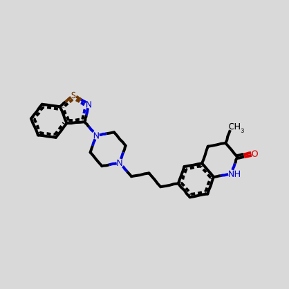 CC1Cc2cc(CCCN3CCN(c4nsc5ccccc45)CC3)ccc2NC1=O